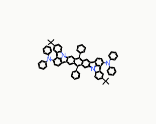 CC(C)(C)c1ccc2c(c1)c1c(N(c3ccccc3)c3ccccc3)ccc3c4cc5c(-c6ccccc6)c6cc7c(cc6c(-c6ccccc6)c5cc4n2c31)c1ccc(N(c2ccccc2)c2ccccc2)c2c3cc(C(C)(C)C)ccc3n7c12